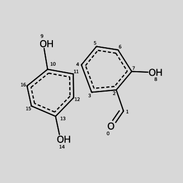 O=Cc1ccccc1O.Oc1ccc(O)cc1